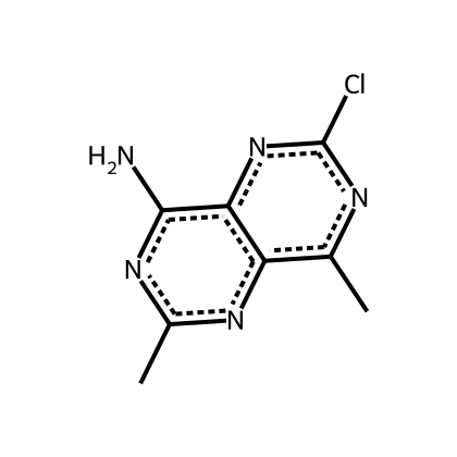 Cc1nc(N)c2nc(Cl)nc(C)c2n1